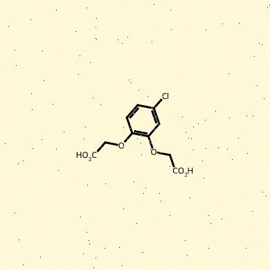 O=C(O)COc1ccc(Cl)cc1OCC(=O)O